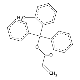 C=CC(=O)OC(c1ccccc1)(c1ccccc1)c1ccccc1C